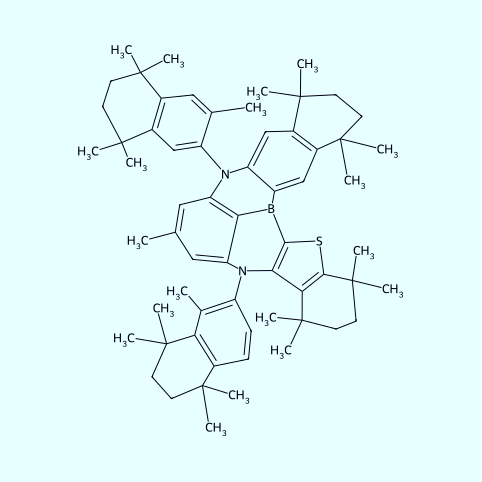 Cc1cc2c3c(c1)N(c1ccc4c(c1C)C(C)(C)CCC4(C)C)c1c(sc4c1C(C)(C)CCC4(C)C)B3c1cc3c(cc1N2c1cc2c(cc1C)C(C)(C)CCC2(C)C)C(C)(C)CCC3(C)C